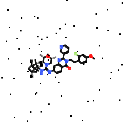 COc1ccc(CCn2c(-c3cccnc3)nc3cc(N=C(N[C@H]4C[C@H]5C[C@H]([C@H]4C)C5(C)C)N4C[C@@H](C)O[C@@H](C)C4)ccc3c2=O)c(F)c1